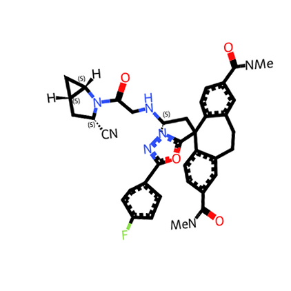 CNC(=O)c1ccc2c(c1)CCc1cc(C(=O)NC)ccc1C2(C[C@H](C)NCC(=O)N1[C@H](C#N)C[C@@H]2C[C@@H]21)c1nnc(-c2ccc(F)cc2)o1